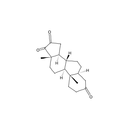 C[C@]12CCC(=O)C[C@@H]1CC[C@@H]1[C@@H]2CC[C@]2(C)C(=O)C(=O)C[C@@H]12